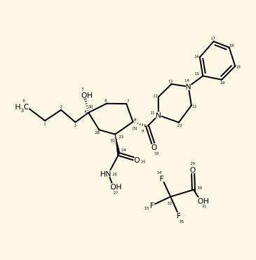 CCCC[C@@]1(O)CC[C@H](C(=O)N2CCN(c3ccccc3)CC2)[C@@H](C(=O)NO)C1.O=C(O)C(F)(F)F